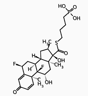 C[C@@H]1C[C@H]2[C@@H]3C[C@H](F)C4=CC(=O)C=C[C@]4(C)[C@@]3(F)[C@@H](O)C[C@]2(C)[C@@]1(O)C(=O)SCCCCP(=O)(O)O